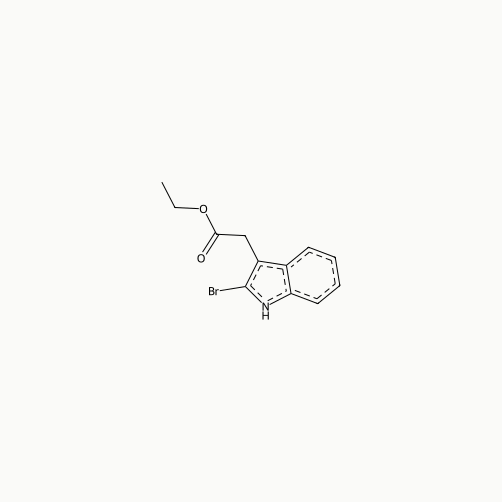 CCOC(=O)Cc1c(Br)[nH]c2ccccc12